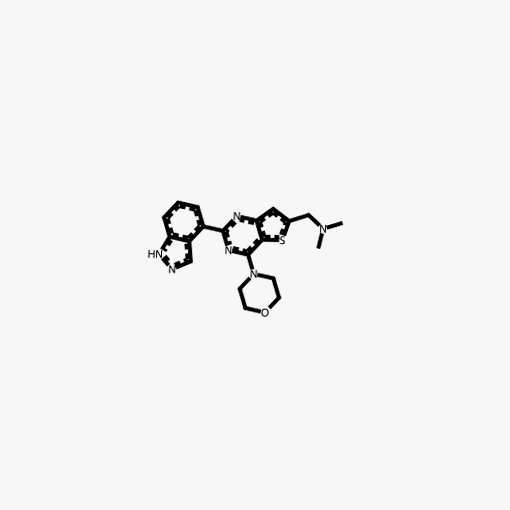 CN(C)Cc1cc2nc(-c3cccc4[nH]ncc34)nc(N3CCOCC3)c2s1